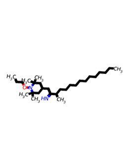 CCCCCCCCCCCCC(C)C(=N)CC1CC(C)(C)N(OCCC)C(C)(C)C1